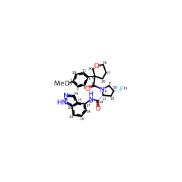 COc1ccc(C2(C(=O)N3C[C@H](F)C[C@@H]3C(=O)Nc3cccc4[nH]ncc34)CCCOC2)cc1